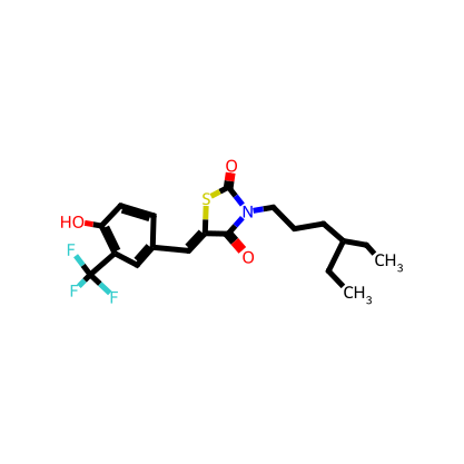 CCC(CC)CCCN1C(=O)S/C(=C\c2ccc(O)c(C(F)(F)F)c2)C1=O